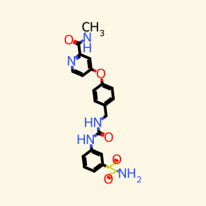 CNC(=O)c1cc(Oc2ccc(CNC(=O)Nc3cccc(S(N)(=O)=O)c3)cc2)ccn1